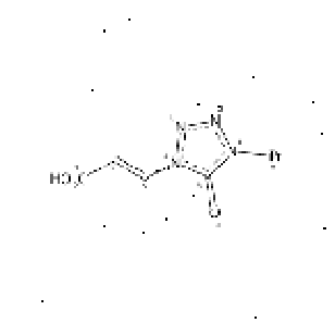 CC(C)n1nnn(/C=C/C(=O)O)c1=O